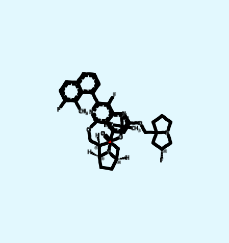 Cc1c(F)ccc2cccc(-c3nc4c5c(cc(OCC67CCCN6C[C@H](F)C7)nc5c3F)N3C[C@H]5CC[C@@H]([C@H]3CO4)N5C(=O)OC(C)(C)C)c12